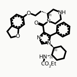 CCOC(=O)N[C@H]1CCCC[C@@H]1n1cnc(C(=O)N2CCNC[C@H]2CCOc2ccc3c(c2)OCC3)c1-c1ccccc1